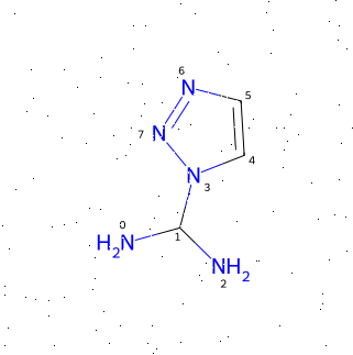 NC(N)n1ccnn1